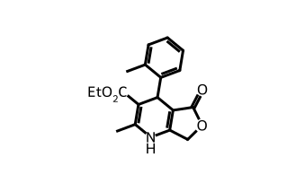 CCOC(=O)C1=C(C)NC2=C(C(=O)OC2)C1c1ccccc1C